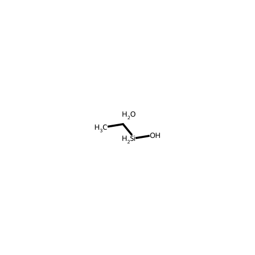 CC[SiH2]O.O